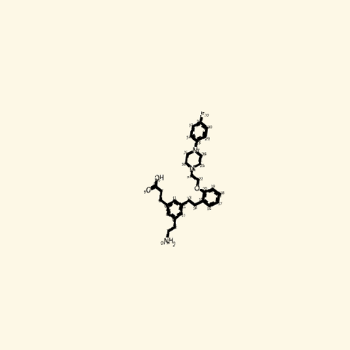 NCCc1cc(CCC(=O)O)cc(CCc2ccccc2OCCN2CCN(c3ccc(F)cc3)CC2)c1